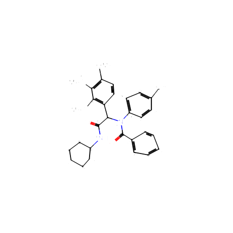 COc1ccc(C(C(=O)NC2CCCCC2)N(C(=O)c2ccccc2)c2ccc(C(C)C)cc2)c(OC)c1OC